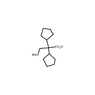 COCC(C(=O)O)(C1CCCC1)C1CCCC1